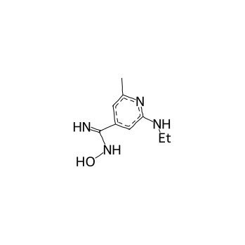 CCNc1cc(C(=N)NO)cc(C)n1